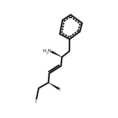 N[C@H](/C=C/[C@@H](I)CI)Cc1ccccc1